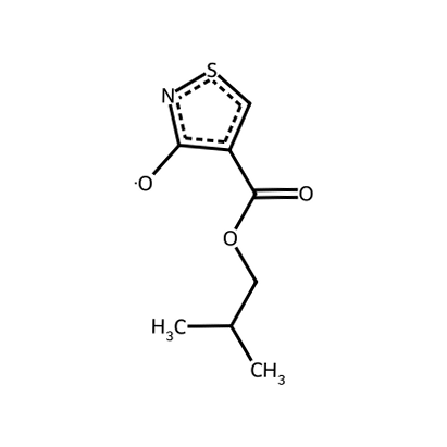 CC(C)COC(=O)c1csnc1[O]